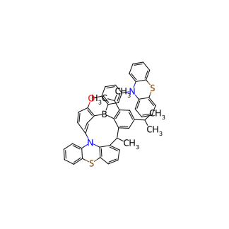 CC(C)c1cc(C(C)C)c2c(c1)C(C)c1cccc3c1N(c1ccc4c(c1)B2c1cc(N2c5ccccc5Sc5ccccc52)ccc1O4)c1ccccc1S3